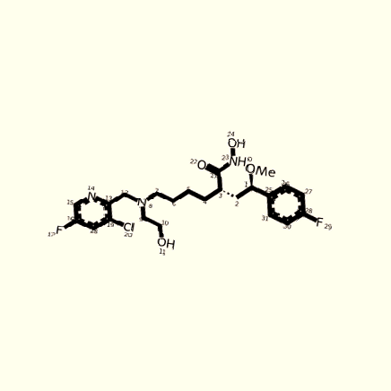 CO[C@H](C[C@H](CCCCN(CCO)Cc1ncc(F)cc1Cl)C(=O)NO)c1ccc(F)cc1